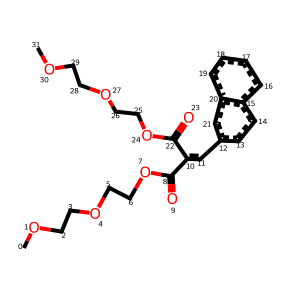 COCCOCCOC(=O)C(=Cc1ccc2ccccc2c1)C(=O)OCCOCCOC